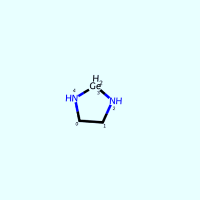 C1C[NH][GeH2][NH]1